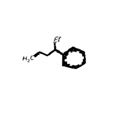 [CH2]CC(CC=C)c1ccccc1